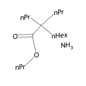 CCCCCCC(CCC)(CCC)C(=O)OCCC.N